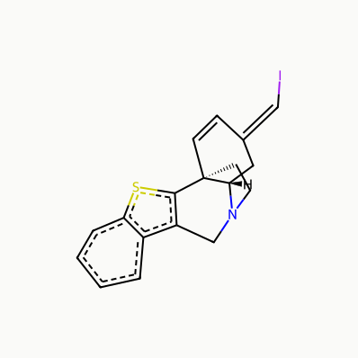 I/C=C1\C=C[C@]23CCN(Cc4c2sc2ccccc42)[C@H]3C1